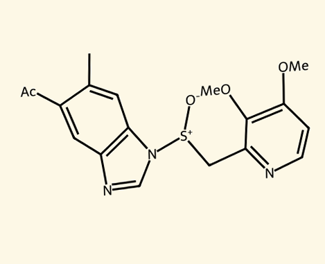 COc1ccnc(C[S+]([O-])n2cnc3cc(C(C)=O)c(C)cc32)c1OC